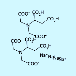 O=C([O-])CN(CC(=O)[O-])[C@@H](CC(=O)O)C(=O)O.O=C([O-])CN(CC(=O)[O-])[C@@H](CC(=O)O)C(=O)O.[Na+].[Na+].[Na+].[Na+]